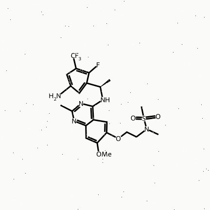 COc1cc2nc(C)nc(N[C@H](C)c3cc(N)cc(C(F)(F)F)c3F)c2cc1OCCN(C)S(C)(=O)=O